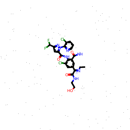 CC/N=C(/C(=O)NCCO)c1cc(Cl)c(NC(=O)c2cc(C(F)F)nn2-c2ncccc2Cl)c(C(=O)NC)c1